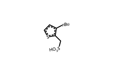 CCCCc1ccsc1CS(=O)(=O)O